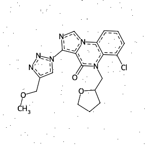 COCc1cn(-c2ncn3c2c(=O)n(CC2CCCO2)c2c(Cl)cccc23)nn1